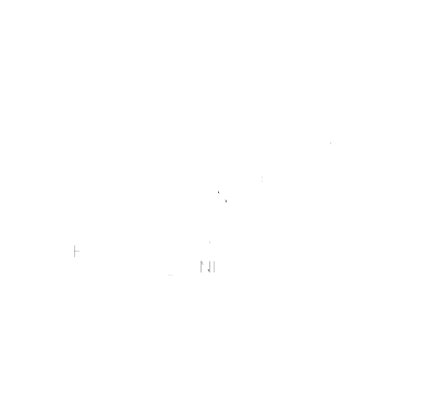 C[Si](C)(C)CCOCN1C=C(c2ccc(F)cc2F)S(=N)C1